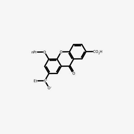 CCCOc1cc([S+]([O-])CC)cc2c(=O)c3cc(C(=O)O)ccc3oc12